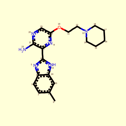 Cc1ccc2nc(-c3nc(OCCN4CCCCC4)cnc3N)[nH]c2c1